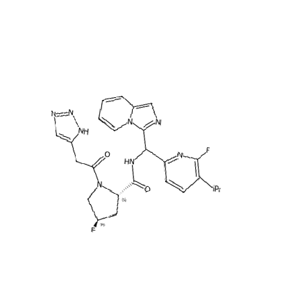 CC(C)c1ccc(C(NC(=O)[C@@H]2C[C@@H](F)CN2C(=O)Cc2cnn[nH]2)c2ncc3ccccn23)nc1F